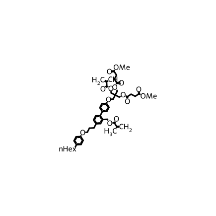 C=C(C)C(=O)OCc1cc(CCCOc2ccc(CCCCCC)cc2)ccc1-c1ccc(OCC(COC(=O)CCC(=O)OC)(COC(=O)CCC(=O)OC)COC(=O)C(=C)C)cc1